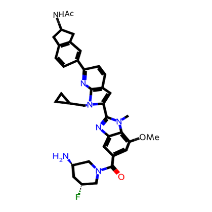 COc1cc(C(=O)N2C[C@H](N)C[C@@H](F)C2)cc2nc(-c3cc4ccc(-c5ccc6c(c5)CC(NC(C)=O)C6)nc4n3CC3CC3)n(C)c12